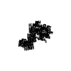 CC[C@H](C)[C@H](NC(=O)[C@@H](NC(=O)[C@@H](NC(=O)[C@@H](N)CCCNC(=N)N)C(C)C)C(C)C)C(=O)N[C@@H](CCC(N)=O)C(=O)N1CCC[C@H]1C(=O)N[C@@H](CO)C(=O)N1CCC[C@H]1C(=O)N[C@H](C(=O)N[C@H](C(=O)N[C@H](C(=O)N[C@H](C(=O)N[C@@H](CC(C)C)C(=O)N1CCC[C@H]1C(=O)O)[C@@H](C)O)C(C)C)C(C)C)C(C)C